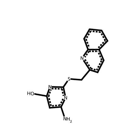 Nc1cc(O)nc(SCc2ccc3ccccc3n2)n1